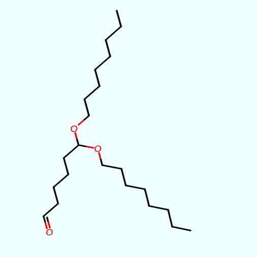 CCCCCCCCOC(CCCCC=O)OCCCCCCCC